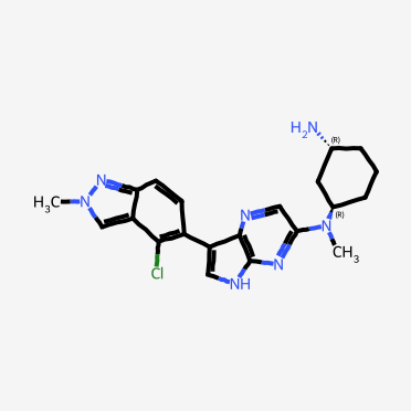 CN(c1cnc2c(-c3ccc4nn(C)cc4c3Cl)c[nH]c2n1)[C@@H]1CCC[C@@H](N)C1